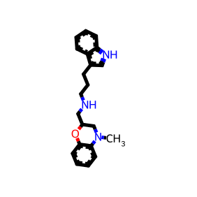 CN1CC(CNCCCc2c[nH]c3ccccc23)Oc2ccccc21